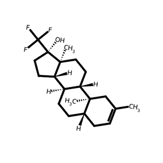 CC1=CC[C@@H]2CC[C@@H]3[C@H](CC[C@@]4(C)[C@H]3CC[C@@]4(O)C(F)(F)F)[C@@]2(C)C1